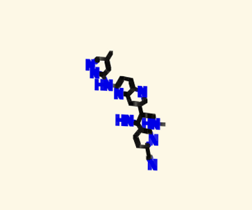 CN/C=C(\C(=N)c1ccc(C#N)nc1)c1cnc2ccc(Nc3cc(C)cnn3)nc2c1